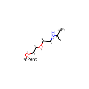 CCCCCOCCOCCNC(C)C(C)C